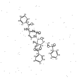 O=C(Nc1ccn([C@@H]2O[C@H](COC(=O)c3ccccc3)[C@@H](OC(=O)c3ccccc3)C2(F)F)c(=O)n1)c1ccccc1